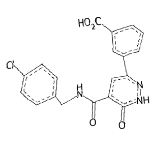 O=C(O)c1cccc(-c2cc(C(=O)NCc3ccc(Cl)cc3)c(=O)[nH]n2)c1